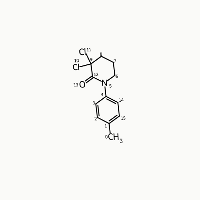 Cc1ccc(N2CCCC(Cl)(Cl)C2=O)cc1